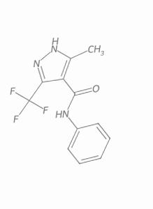 Cc1[nH]nc(C(F)(F)F)c1C(=O)Nc1ccccc1